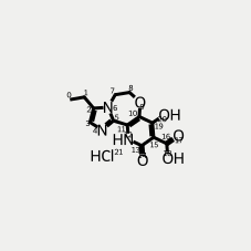 CCc1cnc2n1CCOc1c-2[nH]c(=O)c(C(=O)O)c1O.Cl